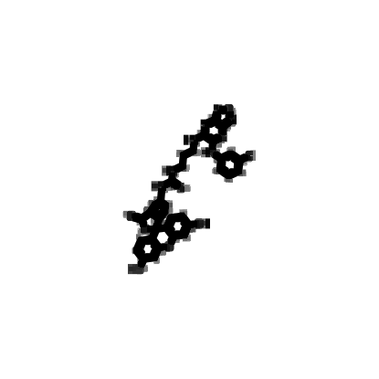 O=C1OC2(c3ccc(O)cc3Oc3cc(O)ccc32)c2ccc(NC(=S)NCCCNc3nc4nonc4nc3Nc3cccc(Cl)c3)cc21